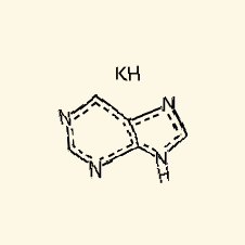 [KH].c1ncc2nc[nH]c2n1